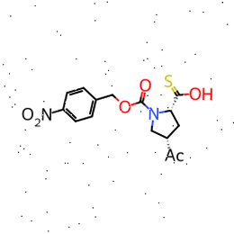 CC(=O)[C@H]1C[C@@H](C(O)=S)N(C(=O)OCc2ccc([N+](=O)[O-])cc2)C1